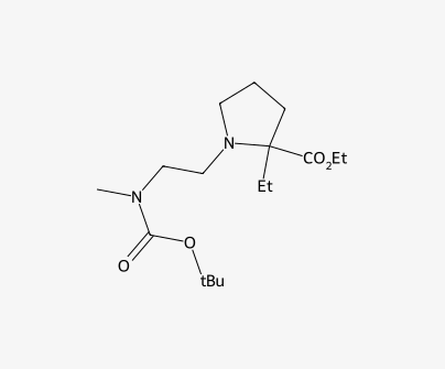 CCOC(=O)C1(CC)CCCN1CCN(C)C(=O)OC(C)(C)C